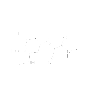 CCNC(=O)/C(C#N)=C/C1CC(NC)=C(O)C(O)C1